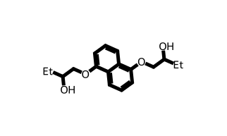 CCC(O)COc1cccc2c(OCC(O)CC)cccc12